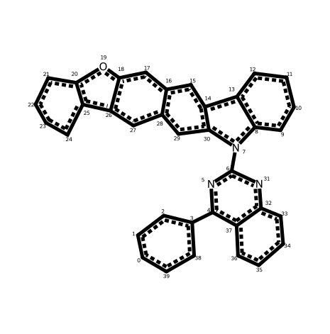 c1ccc(-c2nc(-n3c4ccccc4c4cc5cc6oc7ccccc7c6cc5cc43)nc3ccccc23)cc1